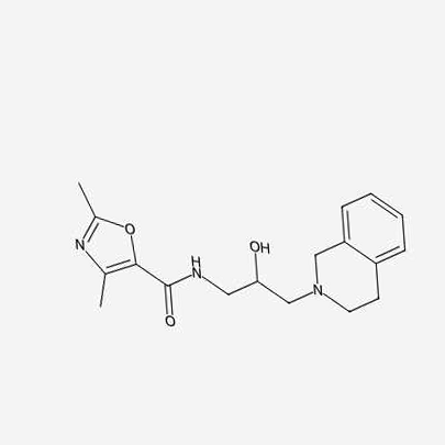 Cc1nc(C)c(C(=O)NCC(O)CN2CCc3ccccc3C2)o1